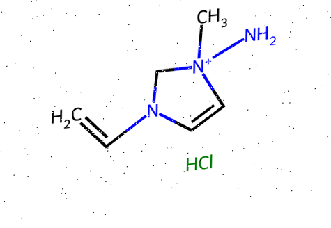 C=CN1C=C[N+](C)(N)C1.Cl